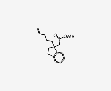 C=CCCCC1(CC(=O)OC)CCc2ccccc21